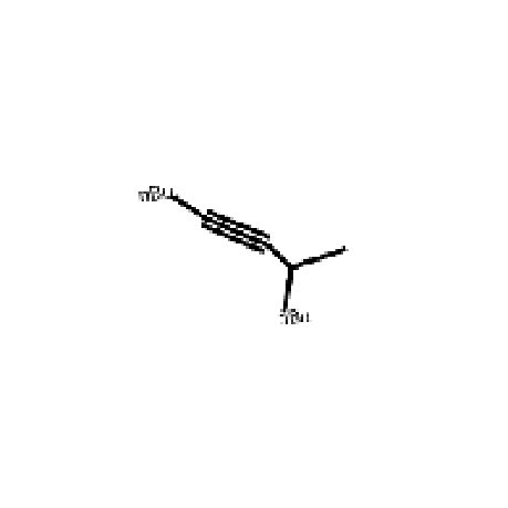 [CH2]CCCC#CC(C)CCC[CH2]